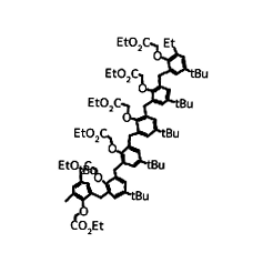 CCOC(=O)COc1c(C)cc(C(C)(C)C)cc1Cc1cc(C(C)(C)C)cc(Cc2cc(C(C)(C)C)cc(Cc3cc(C(C)(C)C)cc(Cc4cc(C(C)(C)C)cc(Cc5cc(C(C)(C)C)cc(CC)c5OCC(=O)OCC)c4OCC(=O)OCC)c3OCC(=O)OCC)c2OCC(=O)OCC)c1OCC(=O)OCC